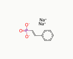 O=P([O-])([O-])C=Cc1ccccc1.[Na+].[Na+]